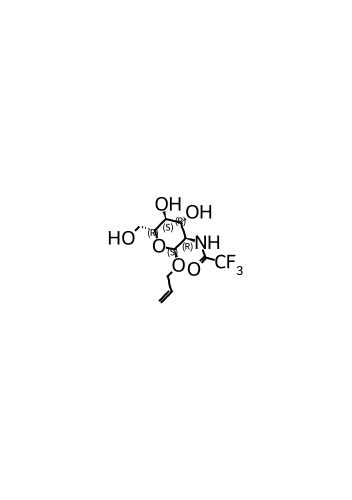 C=CCO[C@H]1O[C@H](CO)[C@@H](O)[C@H](O)[C@H]1NC(=O)C(F)(F)F